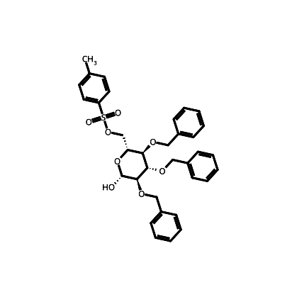 Cc1ccc(S(=O)(=O)OC[C@H]2O[C@@H](O)[C@H](OCc3ccccc3)[C@@H](OCc3ccccc3)[C@@H]2OCc2ccccc2)cc1